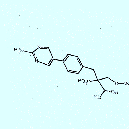 CC(C)(C)OCC(Cc1ccc(-c2cnc(N)nc2)cc1)(C(=O)O)C(O)O